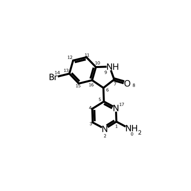 Nc1nccc(C2C(=O)Nc3ccc(Br)cc32)n1